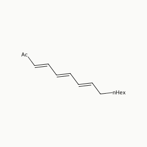 CCCCCCCC=CC=CC=CC(C)=O